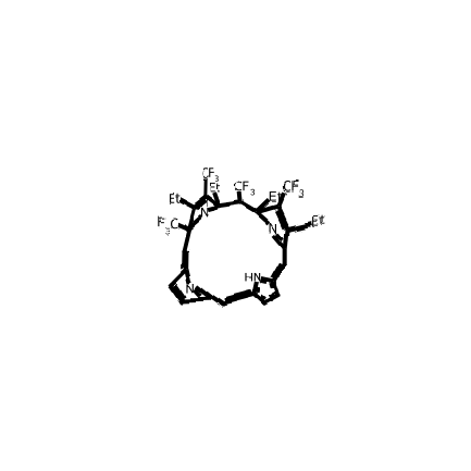 CCC1=C(C(F)(F)F)C2(CC)N=C1C=c1ccc([nH]1)=CC1=NC(=CC3(C(F)(F)F)NC(CC)(C(C(F)(F)F)=C3CC)C2C(F)(F)F)C=C1